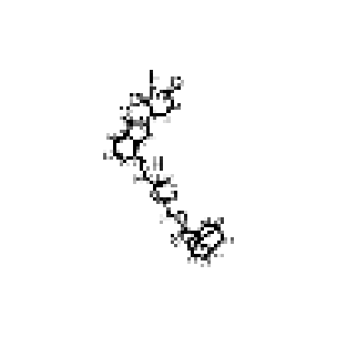 O=C1CCC(N2Cc3c(NCc4csc(COC(=O)C56CC7CC(CC(C7)C5)C6)n4)cccc3C2=O)C(=O)N1